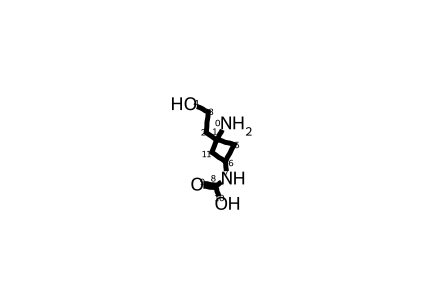 NC1(CCO)CC(NC(=O)O)C1